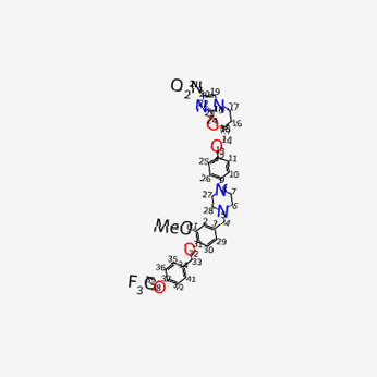 COc1cc(CN2CCN(c3ccc(OC[C@H]4CCn5cc([N+](=O)[O-])nc5O4)cc3)CC2)ccc1OCc1ccc(OC(F)(F)F)cc1